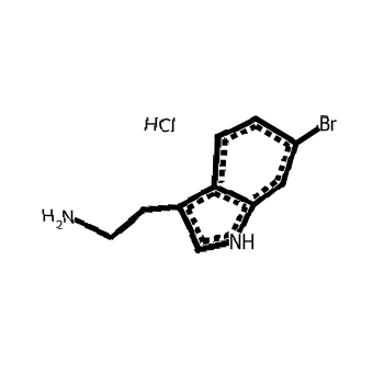 Cl.NCCc1c[nH]c2cc(Br)ccc12